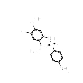 COc1cc(NS(=O)(=O)c2ccc(N)cc2)c(OC)cc1Cl